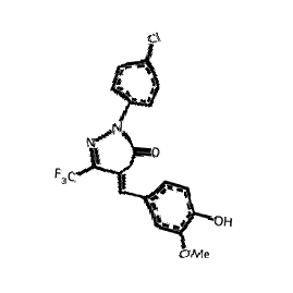 COc1cc(/C=C2\C(=O)N(c3ccc(Cl)cc3)N=C2C(F)(F)F)ccc1O